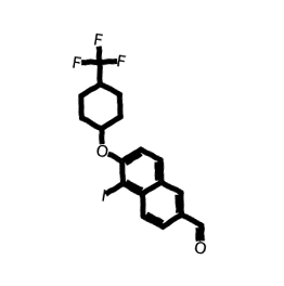 O=Cc1ccc2c(I)c(OC3CCC(C(F)(F)F)CC3)ccc2c1